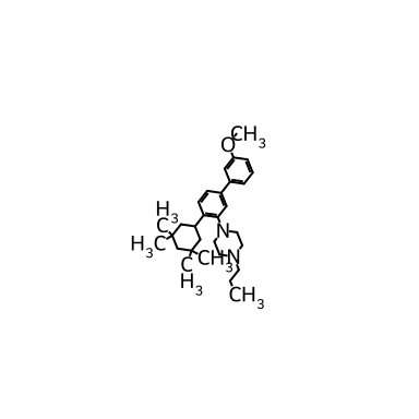 CCCN1CCN(c2cc(-c3cccc(OC)c3)ccc2C2CC(C)(C)CC(C)(C)C2)CC1